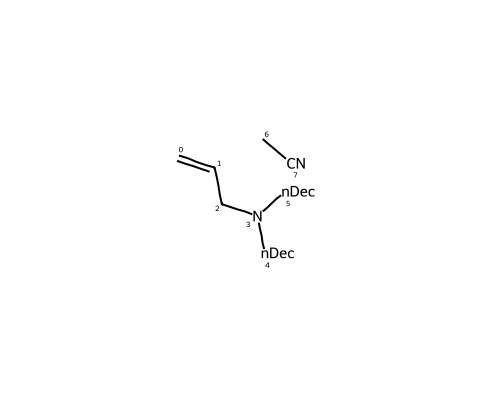 C=CCN(CCCCCCCCCC)CCCCCCCCCC.CC#N